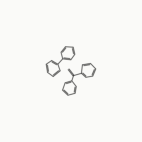 C=C(c1ccccc1)c1ccccc1.c1ccc(-c2ccccc2)cc1